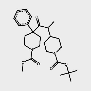 COC(=O)N1CCC(C(=O)N(C)C2CCN(C(=O)OC(C)(C)C)CC2)(c2ccccc2)CC1